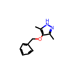 Cc1n[nH]c(C)c1OCc1ccccc1